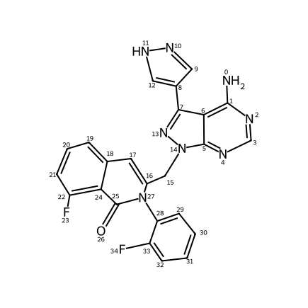 Nc1ncnc2c1c(-c1cn[nH]c1)nn2Cc1cc2cccc(F)c2c(=O)n1-c1ccccc1F